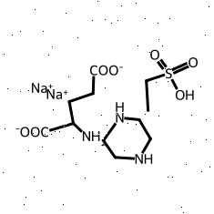 C1CNCCN1.CCS(=O)(=O)O.NC(CCC(=O)[O-])C(=O)[O-].[Na+].[Na+]